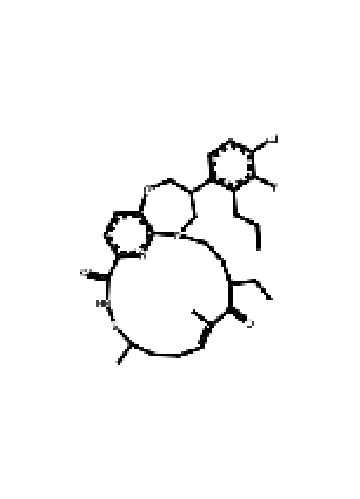 CCCc1c(C2COc3ccc4nc3N(CCC(CC)C(=O)/C(C)=C/CCC(C)SNC4=O)C2)ccc(Cl)c1F